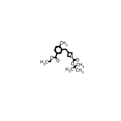 CCOC(=O)c1ccc(C)c(CC2CN(C(=O)OC(C)(C)C)C2)c1